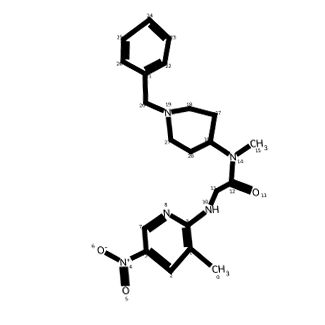 Cc1cc([N+](=O)[O-])cnc1NCC(=O)N(C)C1CCN(Cc2ccccc2)CC1